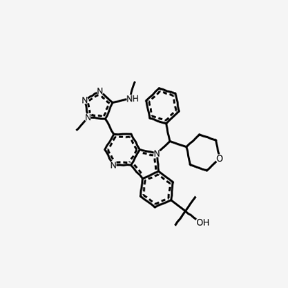 CNc1nnn(C)c1-c1cnc2c3ccc(C(C)(C)O)cc3n(C(c3ccccc3)C3CCOCC3)c2c1